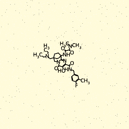 CCN(CC)CC12CCC(NC(=O)C(=O)N(C)C)(CC1)c1nc(C(=O)NCc3ccc(F)c(C)c3)c(O)c(=O)n1C2